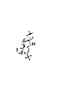 CC(C)(C)OC(=O)N[C@@H](CC(O)C(C)(C)C)C(=O)O